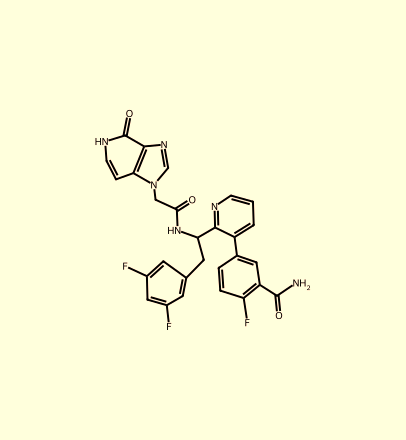 NC(=O)c1cc(-c2cccnc2C(Cc2cc(F)cc(F)c2)NC(=O)Cn2cnc3c(=O)[nH]ccc32)ccc1F